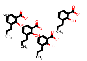 CCCc1cccc(C(=O)[O-])c1O.CCCc1cccc(C(=O)[O-])c1O.CCCc1cccc(C(=O)[O-])c1O.CCCc1cccc(C(=O)[O-])c1O.[Sn+4]